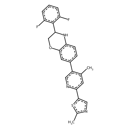 Cc1ncc(-c2cc(C)c(-c3ccc4c(c3)OCC(c3c(F)cccc3F)N4)cn2)s1